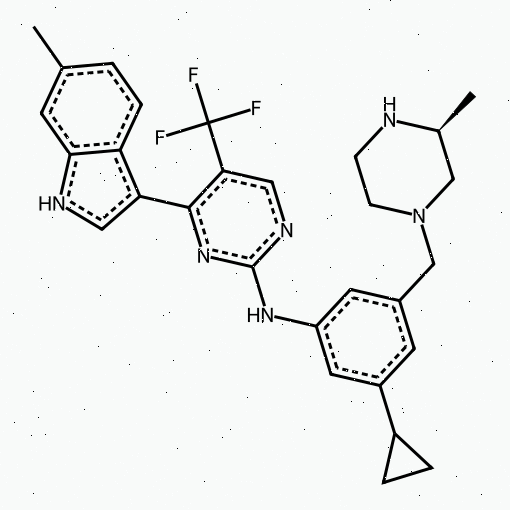 Cc1ccc2c(-c3nc(Nc4cc(CN5CCN[C@@H](C)C5)cc(C5CC5)c4)ncc3C(F)(F)F)c[nH]c2c1